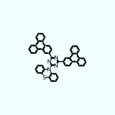 c1ccc2c(c1)Sc1ccccc1N2c1nc(-c2ccc3c4ccccc4c4ccccc4c3c2)nc(-c2ccc3c4ccccc4c4ccccc4c3c2)n1